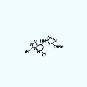 COc1cc(Nc2cc(Cl)nn3c(C(C)C)nnc23)ncn1